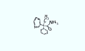 CC(C(N)=O)(c1ccccc1)c1cccnc1